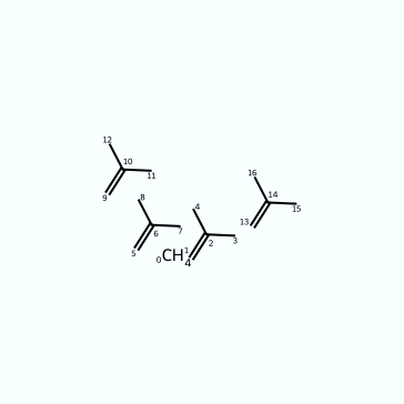 C.C=C(C)C.C=C(C)C.C=C(C)C.C=C(C)C